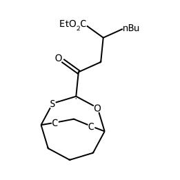 [CH2]CCCC(CC(=O)[C]1OC2CCCC(CCC2)S1)C(=O)OCC